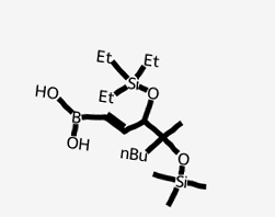 CCCCC(C)(O[Si](C)(C)C)C(/C=C/B(O)O)O[Si](CC)(CC)CC